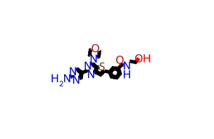 Nc1ncc(-c2nc(N3CCOCC3)c3sc(-c4cccc(C(=O)NCCO)c4)cc3n2)cn1